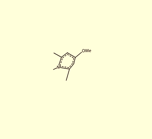 COc1cc(C)[n+](C)c(C)c1